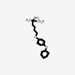 CC(N)(CCCCOc1ccc(Oc2ccccc2)cc1)C(=O)O